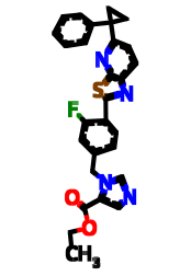 CCOC(=O)c1cncn1Cc1ccc(-c2nc3ccc(C4(c5ccccc5)CC4)nc3s2)c(F)c1